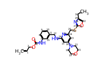 C=CCOC(=O)Nc1cccc(CNc2cc(N3CCOCC3)cc(CSc3nc(CC)co3)n2)c1